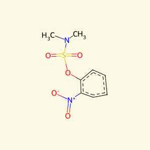 CN(C)S(=O)(=O)Oc1ccccc1[N+](=O)[O-]